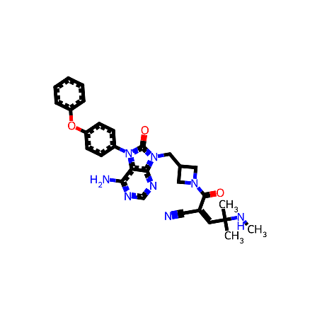 CNC(C)(C)/C=C(/C#N)C(=O)N1CC(Cn2c(=O)n(-c3ccc(Oc4ccccc4)cc3)c3c(N)ncnc32)C1